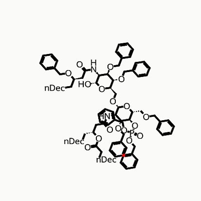 CCCCCCCCCCCC(=O)O[C@H](CCCCCCCCCCC)CC(=O)N[C@@H]1[C@H](OC[C@H]2O[C@H](O)[C@@H](NC(=O)C[C@@H](CCCCCCCCCCC)OCc3ccccc3)[C@@H](OCc3ccccc3)[C@@H]2OCc2ccccc2)O[C@H](COCc2ccccc2)[C@@H](OP(=O)(OCc2ccccc2)OCc2ccccc2)[C@@H]1OCc1ccccc1